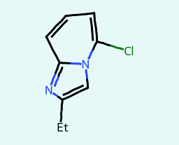 CCc1cn2c(Cl)cccc2n1